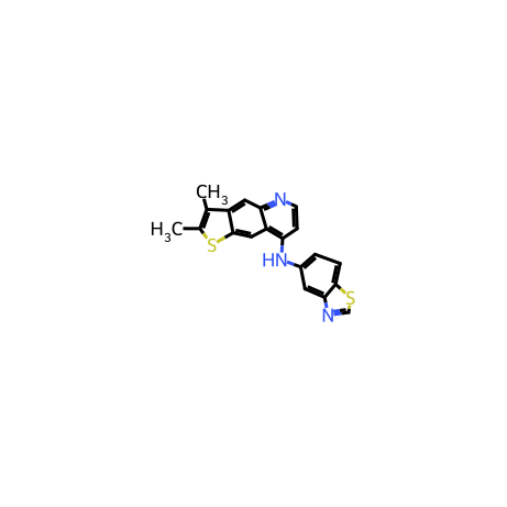 Cc1sc2cc3c(Nc4ccc5scnc5c4)ccnc3cc2c1C